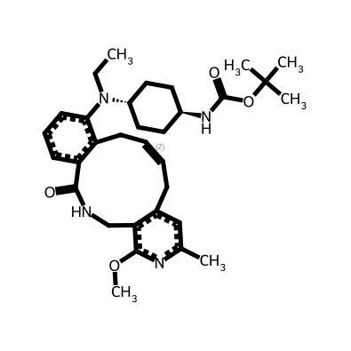 CCN(c1cccc2c1C/C=C\Cc1cc(C)nc(OC)c1CNC2=O)[C@H]1CC[C@H](NC(=O)OC(C)(C)C)CC1